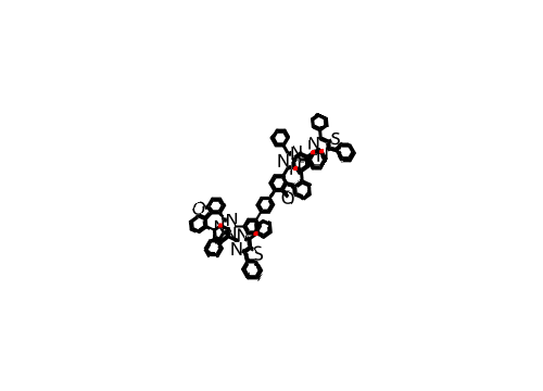 c1ccc(-c2nc(-c3cccc(-c4ccc(-c5ccc(-c6nc(-c7ccccc7)nc(-c7ccccc7)n6)c6c5oc5cccc(-c7cccc(-c8nc(-c9ccccc9)c9sc%10ccccc%10c9n8)c7)c56)cc4)c3)nc(-c3cccc4oc5cccc(-c6ccc(-c7nc(-c8ccccc8)c8sc9ccccc9c8n7)cc6)c5c34)n2)cc1